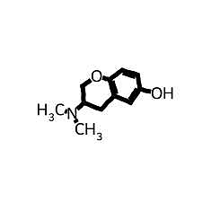 CN(C)C1COc2ccc(O)cc2C1